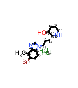 Cc1c(Br)ccc2c1ncn2CCC[C@H]1NCCC[C@@H]1O.Cl.Cl